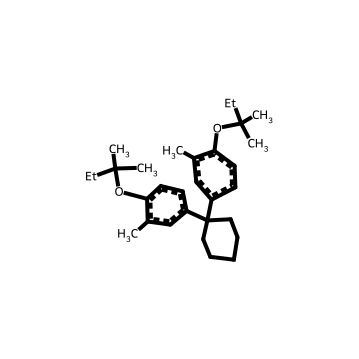 CCC(C)(C)Oc1ccc(C2(c3ccc(OC(C)(C)CC)c(C)c3)CCCCC2)cc1C